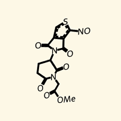 COC(=O)CN1C(=O)CCC(N2C(=O)c3csc(N=O)c3C2=O)C1=O